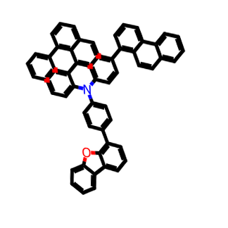 c1ccc(-c2cccc3cccc(-c4ccccc4N(c4ccc(-c5cccc6c5ccc5ccccc56)cc4)c4ccc(-c5cccc6c5oc5ccccc56)cc4)c23)cc1